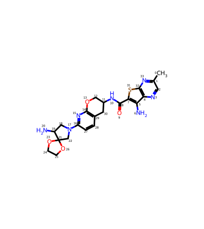 Cc1cnc2c(N)c(C(=O)NC3COc4nc(N5CC(N)C6(C5)OCCO6)ccc4C3)sc2n1